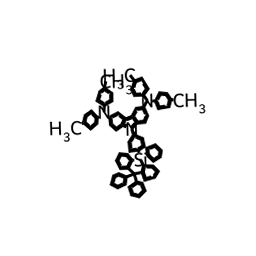 Cc1ccc(N(c2ccc(C)cc2)c2ccc3c(c2)c2cc(N(c4ccc(C)cc4)c4ccc(C)cc4)ccc2n3-c2ccc([Si]3(c4ccccc4)c4ccccc4C(c4ccccc4)(c4ccccc4)c4ccccc43)cc2)cc1